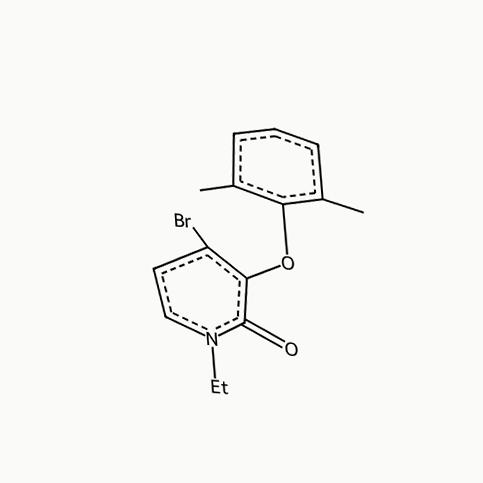 CCn1ccc(Br)c(Oc2c(C)cccc2C)c1=O